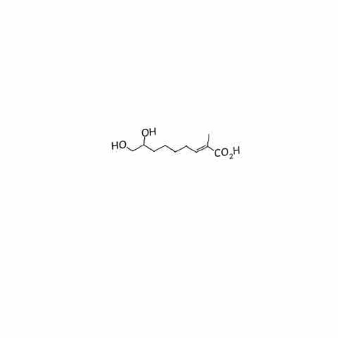 CC(=CCCCCC(O)CO)C(=O)O